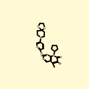 Cc1c(Br)c(=O)n(C2CCCC2)c2nc(Nc3ccc(N4CCC5(CC4)OCCO5)cn3)ncc12